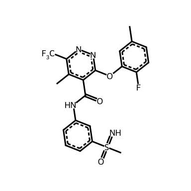 Cc1ccc(F)c(Oc2nnc(C(F)(F)F)c(C)c2C(=O)Nc2cccc(S(C)(=N)=O)c2)c1